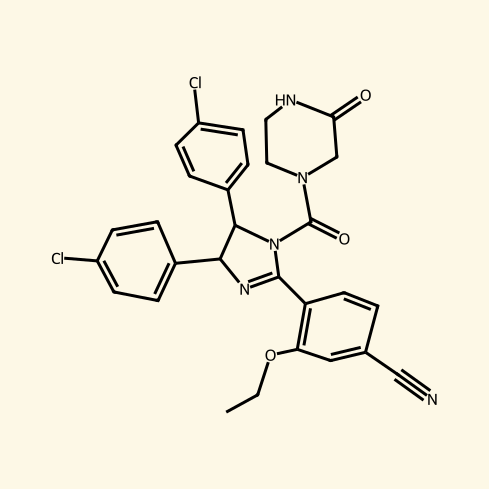 CCOc1cc(C#N)ccc1C1=NC(c2ccc(Cl)cc2)C(c2ccc(Cl)cc2)N1C(=O)N1CCNC(=O)C1